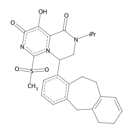 CC(C)N1CC(c2cccc3c2CCC2=C(CCC=C2)C3)n2c(S(C)(=O)=O)nc(=O)c(O)c2C1=O